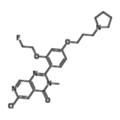 Cn1c(-c2ccc(OCCCN3CCCC3)cc2OCCF)nc2cnc(Cl)cc2c1=O